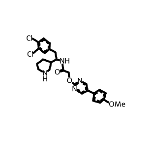 COc1ccc(-c2cnc(OCC(=O)NC(Cc3ccc(Cl)c(Cl)c3)C3CCCNC3)nc2)cc1